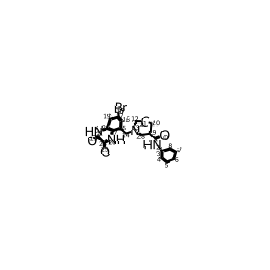 O=C(Nc1ccccc1)C1CCCN(Cc2cc(Br)cc3[nH]c(=O)c(=O)[nH]c23)C1